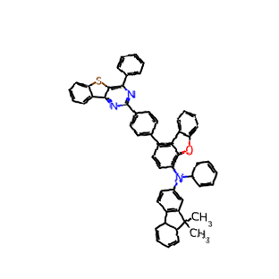 CC1(C)c2cc(N(c3ccc(-c4ccc(-c5nc(-c6ccccc6)c6sc7ccccc7c6n5)cc4)c4c3oc3ccccc34)C3C=CC=CC3)ccc2C2C=CC=CC21